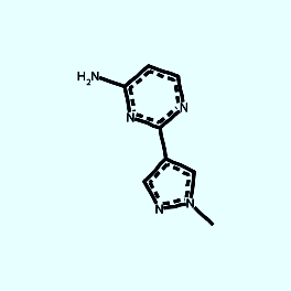 Cn1cc(-c2nccc(N)n2)cn1